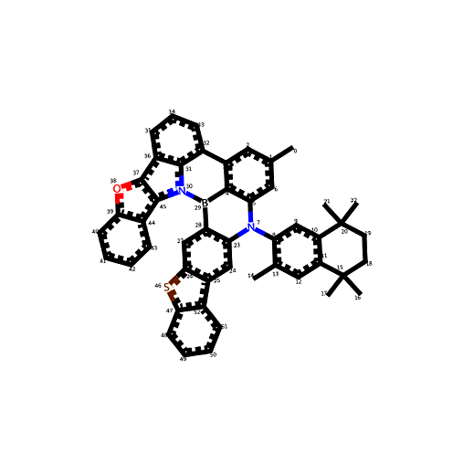 Cc1cc2c3c(c1)N(c1cc4c(cc1C)C(C)(C)CCC4(C)C)c1cc4c(cc1B3n1c3c-2cccc3c2oc3ccccc3c21)sc1ccccc14